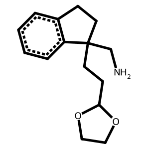 NCC1(CCC2OCCO2)CCc2ccccc21